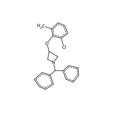 Cc1cccc(Cl)c1OC1CN(C(c2ccccc2)c2ccccc2)C1